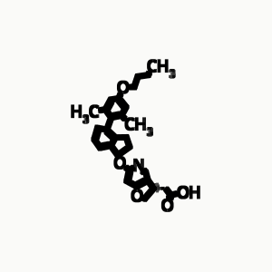 CCCCOc1cc(C)c(-c2cccc3c2CCC3Oc2cc3c(cn2)[C@H](CC(=O)O)CO3)c(C)c1